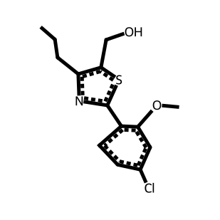 CCCc1nc(-c2ccc(Cl)cc2OC)sc1CO